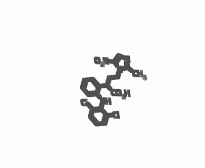 Cc1ncc([N+](=O)[O-])n1CCC(C(=O)O)c1ccccc1Nc1c(Cl)cccc1Cl